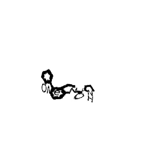 COc1ccccc1-c1cccc2c1CCN2C(=O)[C@@H]1CCCN1